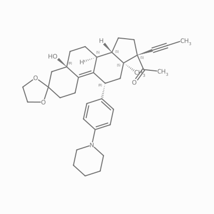 CC#C[C@]1(C(C)=O)CC[C@H]2[C@@H]3CC[C@@]4(O)CC5(CCC4=C3[C@@H](c3ccc(N4CCCCC4)cc3)C[C@@]21C)OCCO5